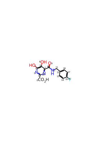 O=C(O)c1nc(O)c(O)c(C(=O)NCc2ccc(F)cc2)n1